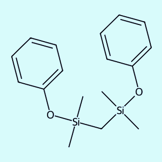 C[Si](C)(C[Si](C)(C)Oc1ccccc1)Oc1ccccc1